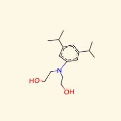 CC(C)c1cc(C(C)C)cc(N(CCO)CCO)c1